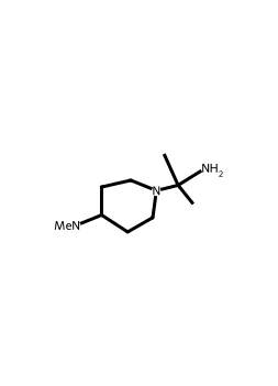 CNC1CCN(C(C)(C)N)CC1